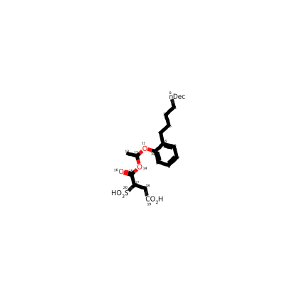 CCCCCCCCCCCCCCc1ccccc1OC(C)OC(=O)C(CC(=O)O)S(=O)(=O)O